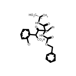 CC(C)C[C@](NC(=O)OCc1ccccc1)(C(=O)N[C@@H](C)C(=O)O)C(=O)C(C(=O)O)c1ccccc1Cl